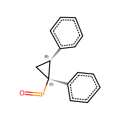 O=P[C@@]1(c2ccccc2)C[C@@H]1c1ccccc1